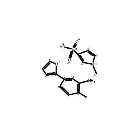 Cc1ccc(-c2ccco2)cc1N.Cn1ccc(S(=O)(=O)O)c1